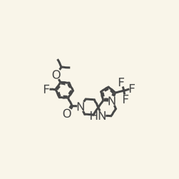 CC(C)Oc1ccc(C(=O)N2CCC3(CC2)NCCn2c(C(F)(F)F)ccc23)cc1F